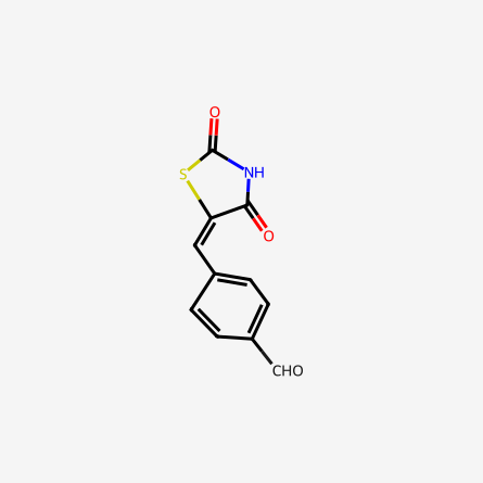 O=Cc1ccc(C=C2SC(=O)NC2=O)cc1